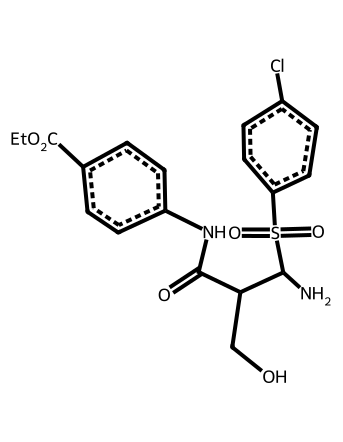 CCOC(=O)c1ccc(NC(=O)C(CO)C(N)S(=O)(=O)c2ccc(Cl)cc2)cc1